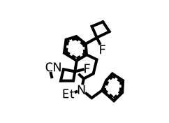 CC#N.CCN(Cc1ccccc1)C(C)CCc1c(C2(F)CCC2)cccc1C1(F)CCC1